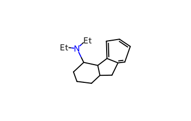 CCN(CC)C1CCCC2Cc3ccccc3C21